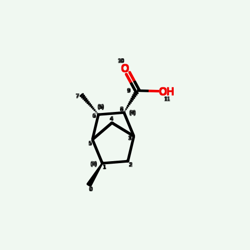 C[C@@H]1CC2CC1[C@H](C)[C@@H]2C(=O)O